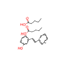 CCCCC(=O)O.CCCCC(=O)O.Oc1cccc(C=Cc2ccccc2)c1